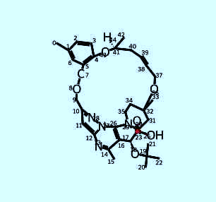 Cc1ccc2c(c1)COCc1cc3nc(C)c([C@H](OC(C)(C)C)C(=O)O)c(n3n1)N1CCC(C)(CC1)OCC=CC[C@H](C)O2